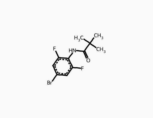 CC(C)(C)C(=O)Nc1c(F)cc(Br)cc1F